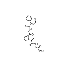 COC(=O)CNC(=O)C(C)[C@@H]1CCCN1C(=O)CNC(=O)c1ccnc2ccccc12